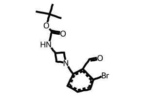 CC(C)(C)OC(=O)NC1CN(c2cccc(Br)c2C=O)C1